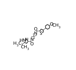 COc1ccc(-c2csc(C(=O)N3CC4(CN(C(=O)c5cc(C(C)C)[nH]n5)C4)C3)c2)cc1